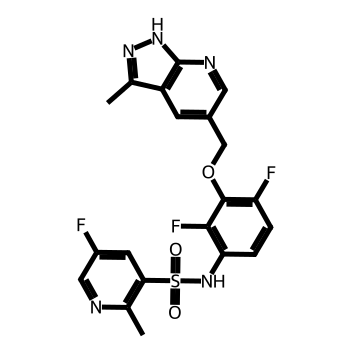 Cc1ncc(F)cc1S(=O)(=O)Nc1ccc(F)c(OCc2cnc3[nH]nc(C)c3c2)c1F